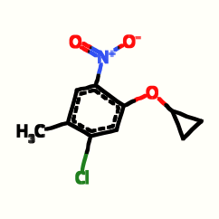 Cc1cc([N+](=O)[O-])c(OC2CC2)cc1Cl